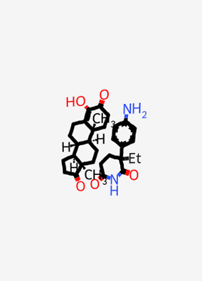 CCC1(c2ccc(N)cc2)CCC(=O)NC1=O.C[C@]12CCC(=O)C(O)=C1CC[C@@H]1[C@@H]2CC[C@]2(C)C(=O)CC[C@@H]12